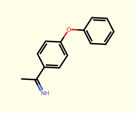 CC(=N)c1ccc(Oc2ccccc2)cc1